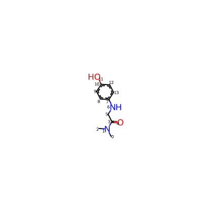 CN(C)C(=O)CNc1ccc(O)cc1